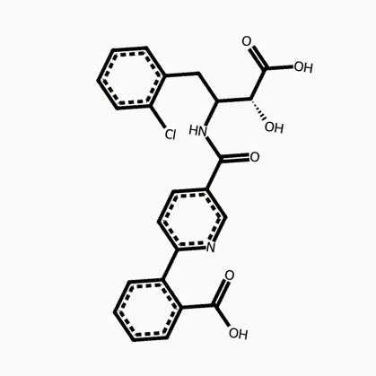 O=C(NC(Cc1ccccc1Cl)[C@@H](O)C(=O)O)c1ccc(-c2ccccc2C(=O)O)nc1